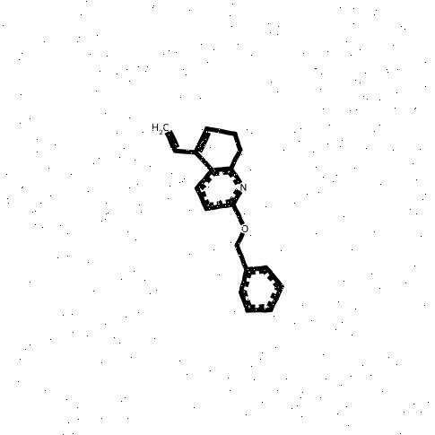 C=CC1=CCCc2nc(OCc3ccccc3)ccc21